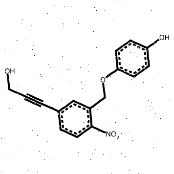 O=[N+]([O-])c1ccc(C#CCO)cc1COc1ccc(O)cc1